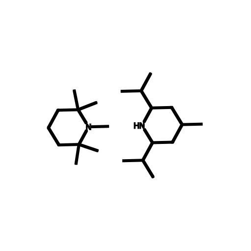 CC1CC(C(C)C)NC(C(C)C)C1.CN1C(C)(C)CCCC1(C)C